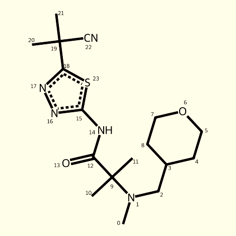 CN(CC1CCOCC1)C(C)(C)C(=O)Nc1nnc(C(C)(C)C#N)s1